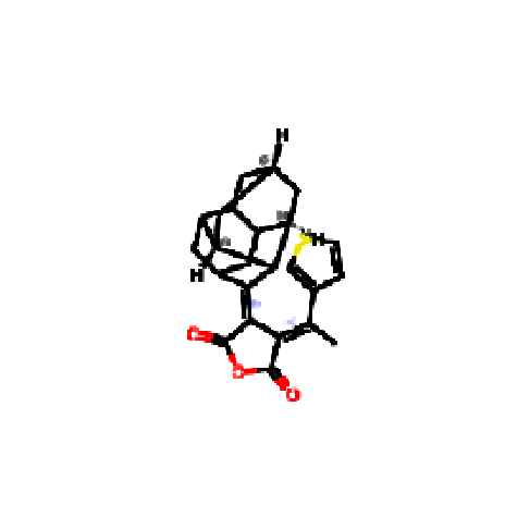 C/C(=C1\C(=O)OC(=O)\C1=C1/C2CC3C4C[C@@H]5C[C@H]3C1[C@@H](C5)C4C2)c1ccsc1